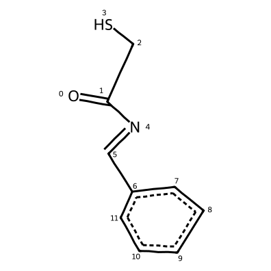 O=C(CS)N=Cc1ccccc1